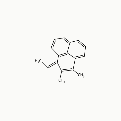 CC=c1c(C)c(C)c2cccc3cccc1c32